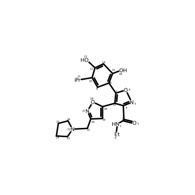 CCNC(=O)c1noc(-c2cc(C(C)C)c(O)cc2O)c1-c1cc(CN2CCCC2)no1